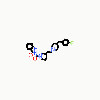 O=C(NC(=O)N1CCCC(CCN2CCC(Cc3ccc(F)cc3)CC2)C1)c1ccccc1